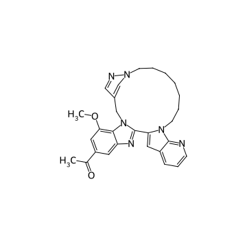 COc1cc(C(C)=O)cc2nc3n(c12)Cc1cnn(c1)CCCCCCCn1c-3cc2cccnc21